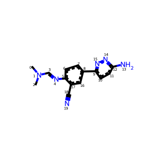 CN(C)/C=N/c1ccc(-c2ccc(N)nn2)cc1C#N